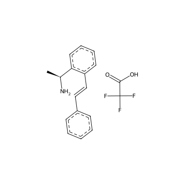 C[C@H](N)c1ccccc1/C=C/c1ccccc1.O=C(O)C(F)(F)F